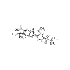 COc1cc(S(=O)(=O)N(C)C)ccc1-c1nc2cc3c(cc2[nH]1)NC(=O)C3(C)C